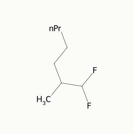 CCCCCC(C)C(F)F